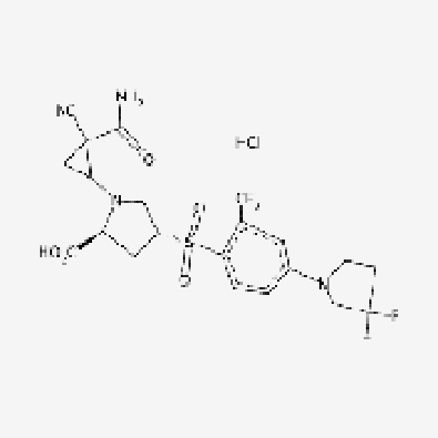 Cl.N#CC1(C(N)=O)CC1N1C[C@H](S(=O)(=O)c2ccc(N3CCC(F)(F)C3)cc2C(F)(F)F)C[C@H]1C(=O)O